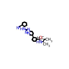 CC(C)[C@H](C)NC(=O)c1cccc(-c2ccc3nc(Nc4ccccc4C#N)nn3c2)c1